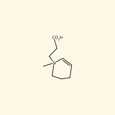 C[Si]1(CCC(=O)O)C=CCCC1